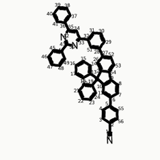 N#Cc1ccc(-c2ccc3c(c2)C(c2ccccc2)(c2ccccc2)c2cc(-c4cccc(-c5cc(-c6ccccc6)nc(-c6ccccc6)n5)c4)ccc2-3)cc1